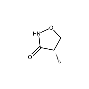 C[C@H]1CONC1=O